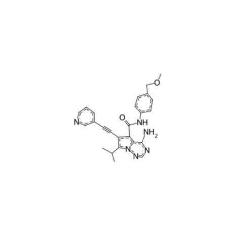 COCc1ccc(NC(=O)c2c(C#Cc3cccnc3)c(C(C)C)n3ncnc(N)c23)cc1